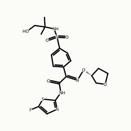 CC(C)(CO)NS(=O)(=O)c1ccc(/C(=N\O[C@@H]2CCOC2)C(=O)Nc2ncc(F)s2)cc1